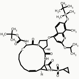 Cc1c(O[Si](C)(C)C(C)(C)C)ccc2c(O[C@@H]3C[C@H]4C(=O)N[C@]5(C(=O)NS(=O)(=O)C6CC6)C[C@H]5/C=C\CCCCC[C@H](NC(=O)OC(C)(C)C)C(=O)N4C3)cc(OC(C)C)nc12